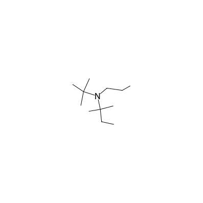 CCCN(C(C)(C)C)C(C)(C)CC